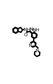 O=C(NC1Cc2ccccc2C1)c1n[nH]c2ccc(-c3cncc(CN4CCCCC4)c3)cc12